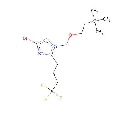 C[Si](C)(C)CCOCn1cc(Br)nc1CCCC(F)(F)F